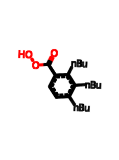 CCCCc1ccc(C(=O)OO)c(CCCC)c1CCCC